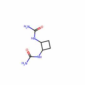 NC(=O)NC1CCC1NC(N)=O